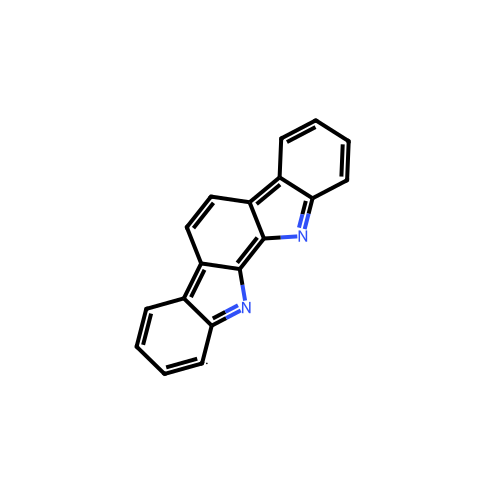 [c]1cccc2c1=Nc1c3c(ccc1=2)=c1ccccc1=N3